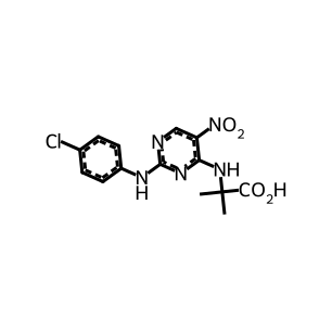 CC(C)(Nc1nc(Nc2ccc(Cl)cc2)ncc1[N+](=O)[O-])C(=O)O